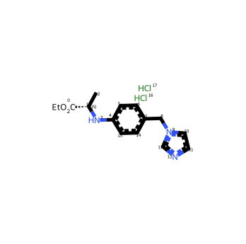 CCOC(=O)[C@H](C)Nc1ccc(Cn2ccnc2)cc1.Cl.Cl